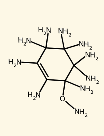 NOC1(N)C(N)=C(N)C(N)(N)C(N)(N)C1(N)N